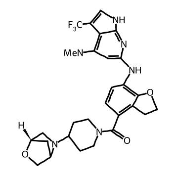 CNc1cc(Nc2ccc(C(=O)N3CCC(N4C[C@@H]5CC4CO5)CC3)c3c2OCC3)nc2[nH]cc(C(F)(F)F)c12